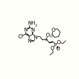 CCOP(=O)(C=C[C@@H](CCn1cnc2c(Cl)nc(N)nc21)O[C@H]1CCCCO1)OCC